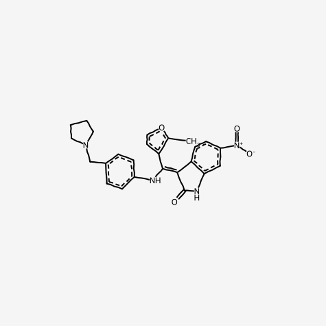 Cc1occc1/C(Nc1ccc(CN2CCCC2)cc1)=C1/C(=O)Nc2cc([N+](=O)[O-])ccc21